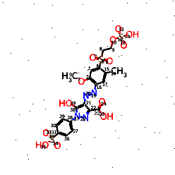 COc1cc(S(=O)(=O)CCOS(=O)(=O)O)c(C)cc1/N=N/c1c(C(=O)O)nn(-c2ccc(S(=O)(=O)O)cc2)c1O